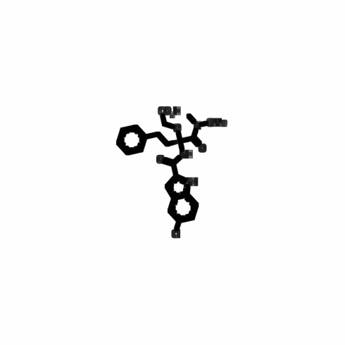 CON(C)C(=O)[C@](CCc1ccccc1)(NC(=O)c1cc2cc(Cl)ccc2[nH]1)OCC(=O)O